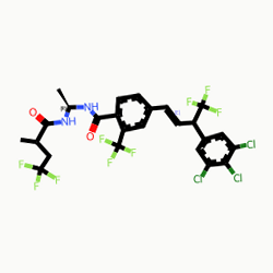 CC(CC(F)(F)F)C(=O)N[C@@H](C)NC(=O)c1ccc(/C=C/C(c2cc(Cl)c(Cl)c(Cl)c2)C(F)(F)F)cc1C(F)(F)F